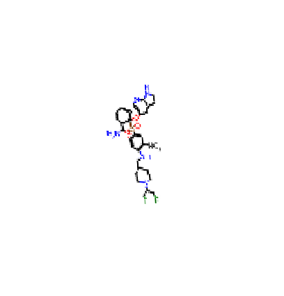 NC(=O)C1C=CC=CC1(Oc1cnc2[nH]ccc2c1)S(=O)(=O)c1ccc(NCC2CCN(C(CF)CF)CC2)c([N+](=O)[O-])c1